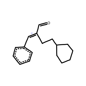 O=C/C(=C/c1ccccc1)CCC1CCCCC1